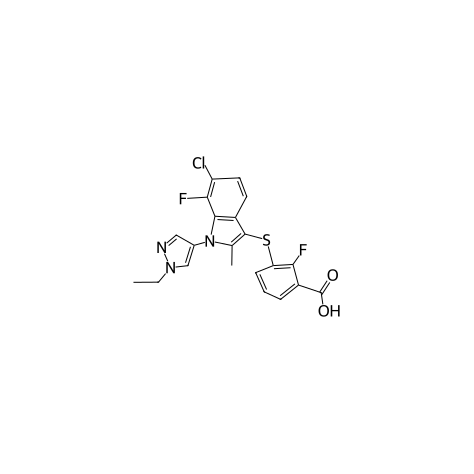 CCn1cc(-n2c(C)c(Sc3cccc(C(=O)O)c3F)c3ccc(Cl)c(F)c32)cn1